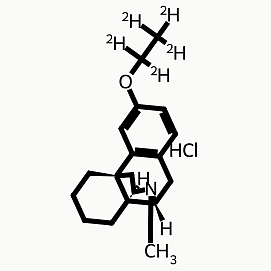 Cl.[2H]C([2H])([2H])C([2H])([2H])Oc1ccc2c(c1)[C@@]13CCCC[C@@H]1[C@@H](C2)N(C)CC3